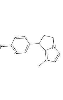 Cc1ccn2c1C(c1ccc(F)cc1)CC2